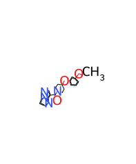 CCOc1cccc(OC2CCN(C(=O)c3cnn4cccnc34)CC2)c1